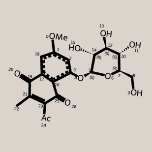 COc1cc(O[C@@H]2O[C@H](CO)[C@@H](O)[C@H](O)[C@H]2O)c2c(c1)C(=O)C(C)=C(C(C)=O)C2=O